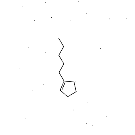 CCCCCC1=CCC[CH]1